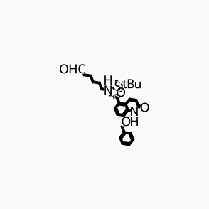 CC(C)(C)[Si](C)(C)O[C@@H](CNCCCCCC=O)c1ccc(OCc2ccccc2)c2[nH]c(=O)ccc12